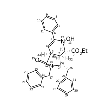 CCOC(=O)[C@@H]1[C@@H]2[C@H](C=C(c3ccccc3)N1O)C(=O)N(Cc1ccccc1)[C@H]2Cc1ccccc1